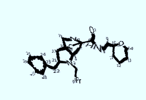 CC(C)CN1C2CC3(C(=O)NCC4CCCCO4)CC(C2C=N3)C1Cc1ccccc1